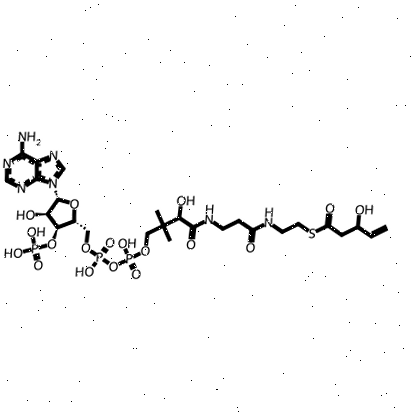 C=CC(O)CC(=O)SCCNC(=O)CCNC(=O)C(O)C(C)(C)COP(=O)(O)OP(=O)(O)OC[C@H]1O[C@@H](n2cnc3c(N)ncnc32)[C@H](O)[C@@H]1OP(=O)(O)O